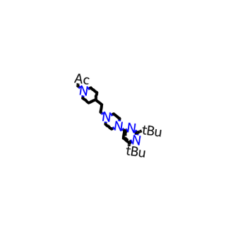 CC(=O)CN1CCC(CCN2CCN(c3cc(C(C)(C)C)nc(C(C)(C)C)n3)CC2)CC1